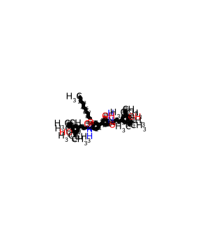 CCCCCCCCCCOc1cc(-c2ccc(NC(=O)CCc3cc(C(C)(C)C)c(O)c(C(C)(C)C)c3)c(O)c2)ccc1NC(=O)CCc1cc(C(C)(C)C)c(O)c(C(C)(C)C)c1